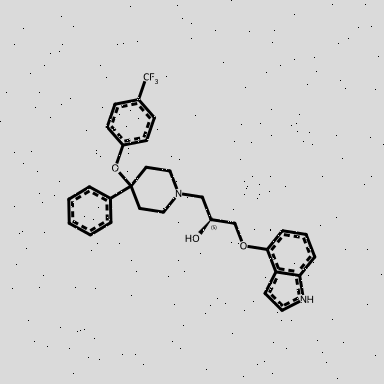 O[C@H](COc1cccc2[nH]ccc12)CN1CCC(Oc2ccc(C(F)(F)F)cc2)(c2ccccc2)CC1